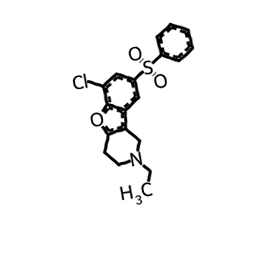 CCN1CCc2oc3c(Cl)cc(S(=O)(=O)c4ccccc4)cc3c2C1